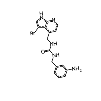 Nc1cccc(CNC(=O)NCc2ccnc3[nH]cc(Br)c23)c1